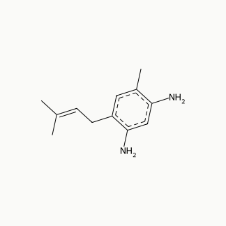 CC(C)=CCc1cc(C)c(N)cc1N